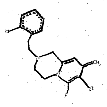 C=C1C=C2CN(Cc3ccccc3Cl)CCN2C(F)=C1CC